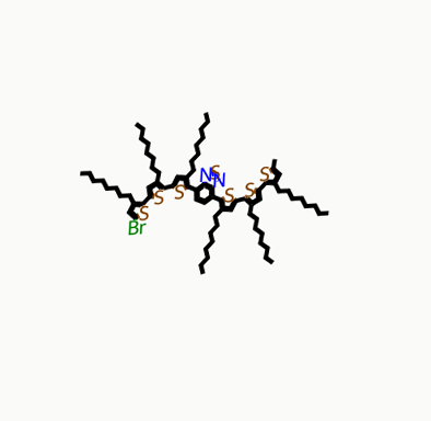 CCCCCCCCc1cc(C)sc1-c1cc(CCCCCCCC)c(-c2cc(CCCCCCCC)c(-c3ccc(-c4sc(-c5sc(-c6sc(Br)cc6CCCCCCCC)cc5CCCCCCCC)cc4CCCCCCCC)c4nsnc34)s2)s1